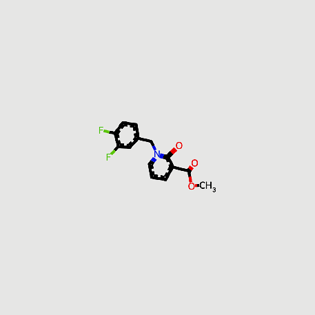 COC(=O)c1cccn(Cc2ccc(F)c(F)c2)c1=O